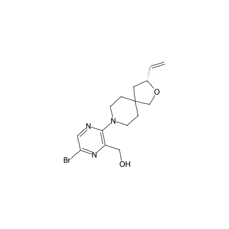 C=C[C@H]1CC2(CCN(c3ncc(Br)nc3CO)CC2)CO1